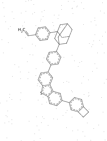 C=Cc1ccc(C23CC4CC(C2)CC(c2ccc(-c5ccc6sc7ccc(-c8ccc9c(c8)CC9)cc7c6c5)cc2)(C4)C3)cc1